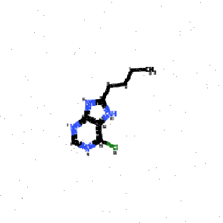 CCCCc1nc2ncnc(Cl)c2[nH]1